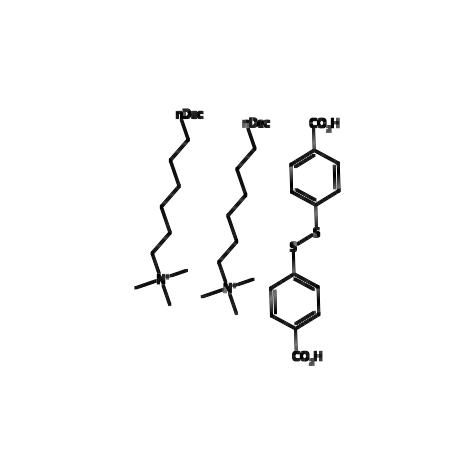 CCCCCCCCCCCCCCCC[N+](C)(C)C.CCCCCCCCCCCCCCCC[N+](C)(C)C.O=C(O)c1ccc(SSc2ccc(C(=O)O)cc2)cc1